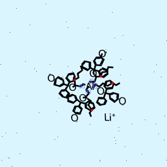 CCCCCC(/C=[CH]/[Al-](/[CH]=C/C(CCCCC)OC(c1ccccc1)(c1ccccc1)c1ccc(OC)cc1)(/[CH]=C/C(CCCCC)OC(c1ccccc1)(c1ccccc1)c1ccc(OC)cc1)/[CH]=C/C(CCCCC)OC(c1ccccc1)(c1ccccc1)c1ccc(OC)cc1)OC(c1ccccc1)(c1ccccc1)c1ccc(OC)cc1.[Li+]